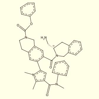 Cc1c(C(=O)N(C)c2ccccc2)cc(-c2cc3c(cc2C(=O)N2Cc4ccccc4C[C@H]2CN)CN(C(=O)Oc2ccccc2)CC3)n1C